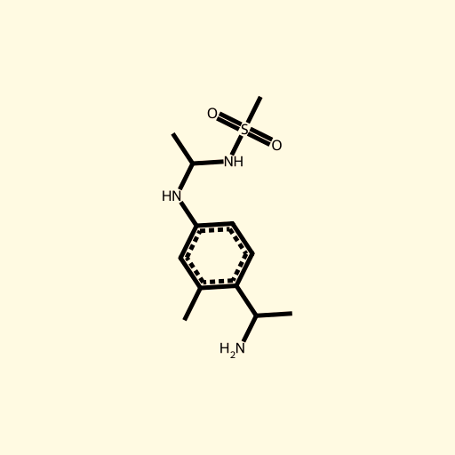 Cc1cc(NC(C)NS(C)(=O)=O)ccc1C(C)N